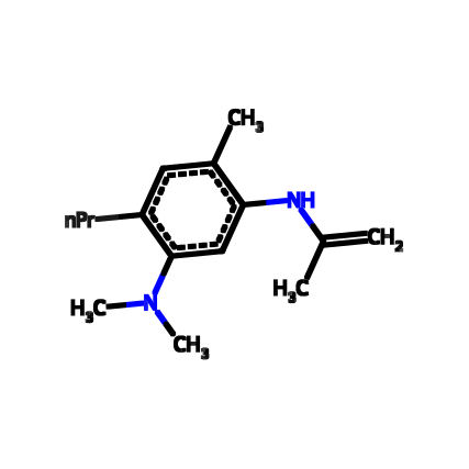 C=C(C)Nc1cc(N(C)C)c(CCC)cc1C